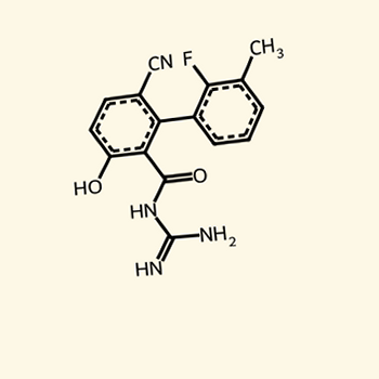 Cc1cccc(-c2c(C#N)ccc(O)c2C(=O)NC(=N)N)c1F